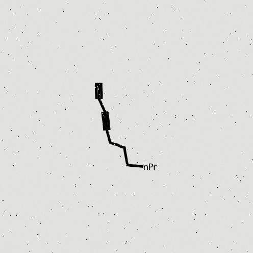 C#CC#CCCCCCC